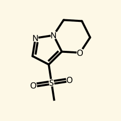 CS(=O)(=O)c1cnn2c1OCCC2